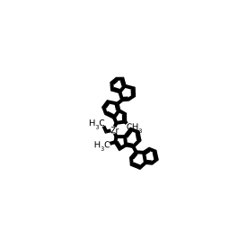 C[CH2][Zr]([CH]1C(C)=Cc2c(-c3cccc4ccccc34)cccc21)[CH]1C(C)=Cc2c(-c3cccc4ccccc34)cccc21